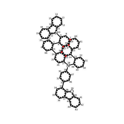 c1ccc(-c2ccccc2-n2c3ccccc3c3ccccc32)c(-c2ccc(N(c3ccc(-c4cccc5c4oc4ccccc45)cc3)c3ccccc3-c3cccc4ccccc34)cc2)c1